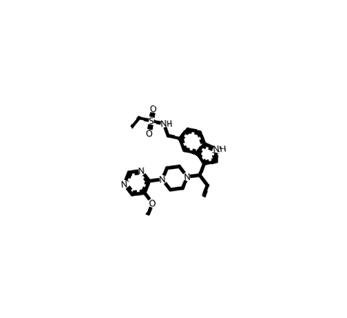 CCC(c1c[nH]c2ccc(CNS(=O)(=O)CC)cc12)N1CCN(c2ncncc2OC)CC1